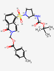 Cc1ccc(C(=O)OCn2ccc3c(S(=O)(=O)N4CCC(NC(=O)OC(C)(C)C)C4)cccc3c2=O)cc1